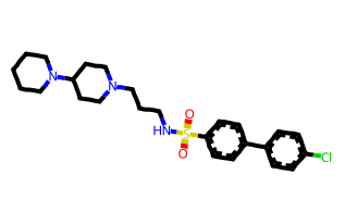 O=S(=O)(NCCCN1CCC(N2CCCCC2)CC1)c1ccc(-c2ccc(Cl)cc2)cc1